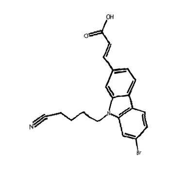 N#CCCCCn1c2cc(Br)ccc2c2ccc(/C=C/C(=O)O)cc21